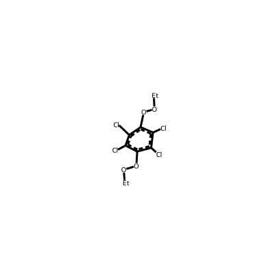 CCOOc1c(Cl)c(Cl)c(OOCC)c(Cl)c1Cl